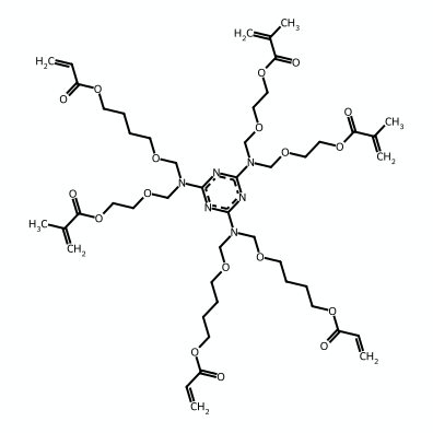 C=CC(=O)OCCCCOCN(COCCCCOC(=O)C=C)c1nc(N(COCCCCOC(=O)C=C)COCCOC(=O)C(=C)C)nc(N(COCCOC(=O)C(=C)C)COCCOC(=O)C(=C)C)n1